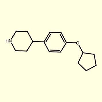 c1cc(C2CCNCC2)ccc1OC1CCCC1